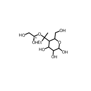 CCC(C)(O[C@@H](O)CO)C1C(CO)OC(O)C(O)C1O